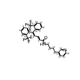 O=C(C=CC=C(c1ccccc1C(F)(F)F)c1ccccc1C(F)(F)F)NCCCCc1cccnc1